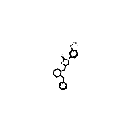 COc1cccc(N2CC(CN3CCCCC3Cc3ccccc3)OC2=O)c1